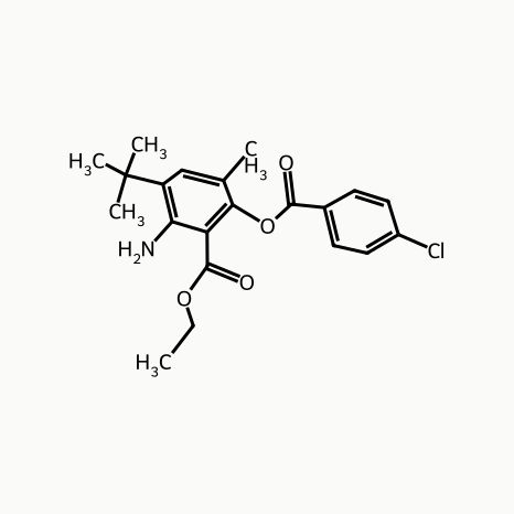 CCOC(=O)c1c(N)c(C(C)(C)C)cc(C)c1OC(=O)c1ccc(Cl)cc1